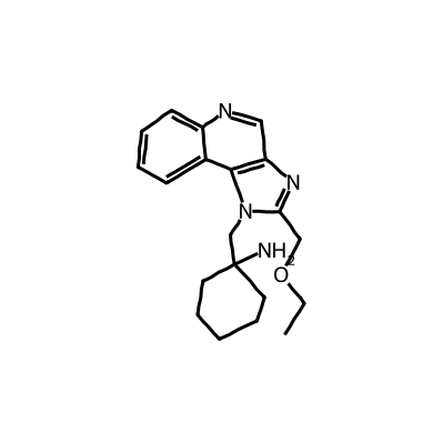 CCOCc1nc2cnc3ccccc3c2n1CC1(N)CCCCC1